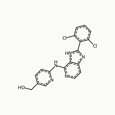 OCc1ccc(Nc2nccc3nc(-c4c(Cl)cccc4Cl)[nH]c23)nc1